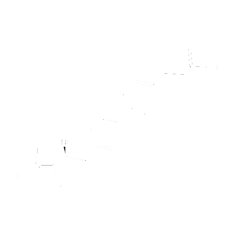 CN(C)C(=O)[C@@H](N)Cc1ccc(-c2ccc(CCC(=O)O)cc2)cc1